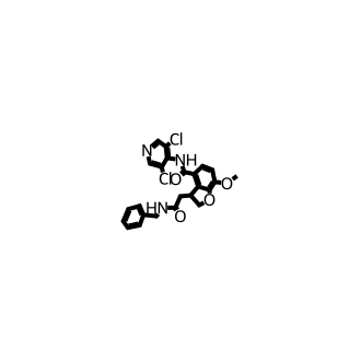 COc1ccc(C(=O)Nc2c(Cl)cncc2Cl)c2c1OCC2CC(=O)NCc1ccccc1